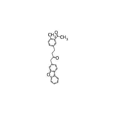 CC(=O)c1cc(CCC(=O)Cc2ccc3c(c2)oc2ccccc23)ccc1C